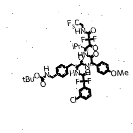 COc1ccc([C@H](NC(=O)[C@H](Cc2ccc(CNC(=O)OC(C)(C)C)cc2)NC(=O)C(F)(F)c2cccc(Cl)c2)C(=O)N[C@H](C(=O)C(F)(F)C(=O)NCC(F)(F)F)C(C)C)cc1